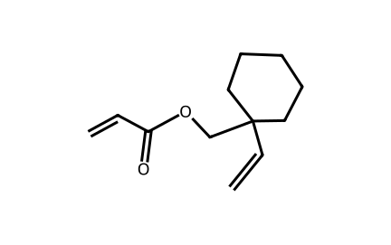 C=CC(=O)OCC1(C=C)CCCCC1